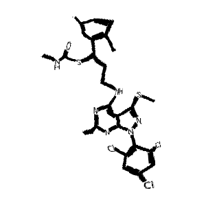 [CH2]c1ccc(C)c(C(CCNc2nc(C)nc3c2c(SC)nn3-c2c(Cl)cc(Cl)cc2Cl)SC(=O)NC)c1